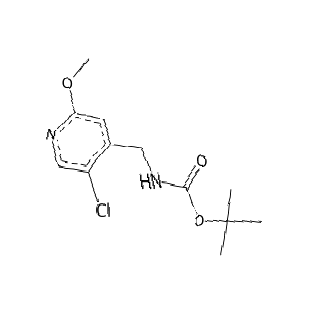 COc1cc(CNC(=O)OC(C)(C)C)c(Cl)cn1